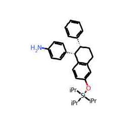 CC(C)[Si](Oc1ccc2c(c1)CC[C@@H](c1ccccc1)[C@H]2c1ccc(N)cc1)(C(C)C)C(C)C